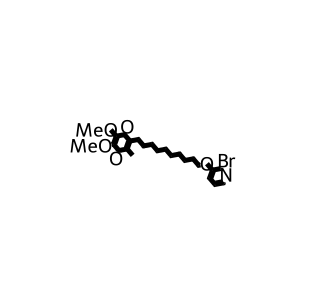 COC1=C(OC)C(=O)C(CCCCCCCCCCOc2cccnc2Br)=C(C)C1=O